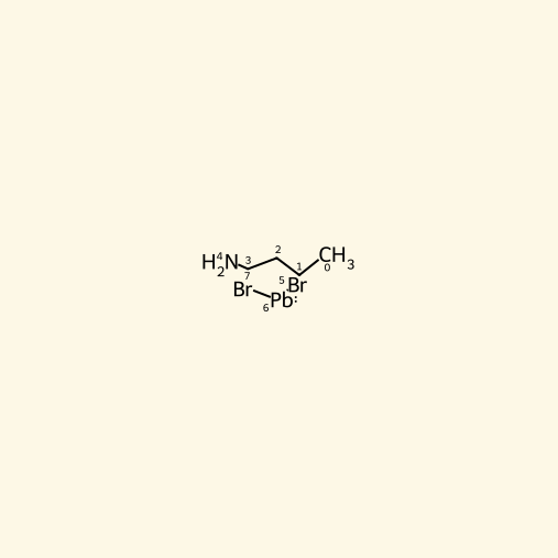 CCCCN.[Br][Pb][Br]